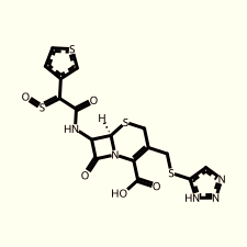 O=S=C(C(=O)NC1C(=O)N2C(C(=O)O)=C(CSc3cnn[nH]3)CS[C@H]12)c1ccsc1